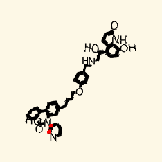 O=C(O)N(c1cc(CCCCOc2ccc(CCNC[C@H](O)c3ccc(O)c4[nH]c(=O)ccc34)cc2)ccc1-c1ccccc1)C1CN2CCC1CC2